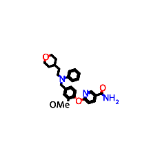 COc1cc(CN(CCC2CCOCC2)c2ccccc2)ccc1Oc1ccc(C(N)=O)cn1